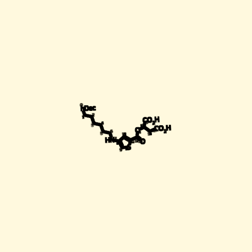 CCCCCCCCCCCCCCCCNc1csc(C(=O)OC(CC(=O)O)C(=O)O)c1